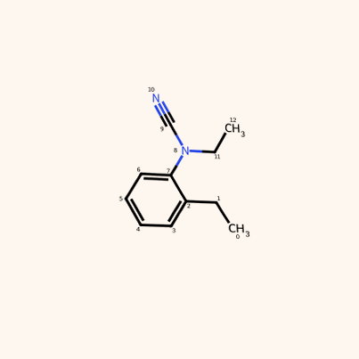 CCc1ccccc1N(C#N)CC